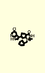 CC1(C)NC(=O)c2ccc(-c3c[nH]c4ncc(Cl)cc34)cc2N1Cc1ccccc1